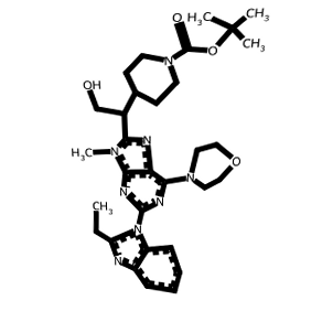 CCc1nc2ccccc2n1-c1nc(N2CCOCC2)c2nc(C(CO)C3CCN(C(=O)OC(C)(C)C)CC3)n(C)c2n1